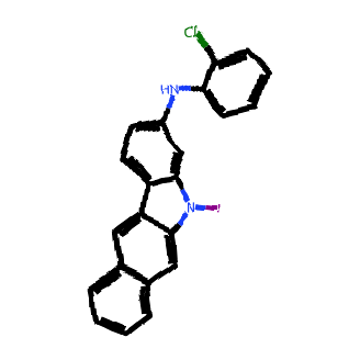 Clc1ccccc1Nc1ccc2c3cc4ccccc4cc3n(I)c2c1